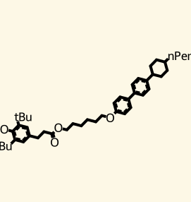 CCCCCC1CCC(c2ccc(-c3ccc(OCCCCCCOC(=O)CCc4cc(C(C)(C)C)c(O)c(C(C)(C)C)c4)cc3)cc2)CC1